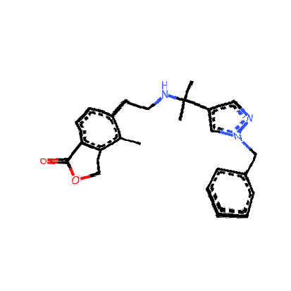 Cc1c(CCNC(C)(C)c2cnn(Cc3ccccc3)c2)ccc2c1COC2=O